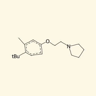 Cc1cc(OCCN2CCCC2)ccc1C(C)(C)C